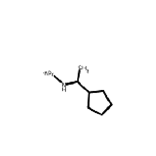 CC[CH]NC(C)C1CCCC1